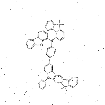 CC1(C)c2ccccc2-c2cc3c(cc21)N(c1ccccc1)C1CC=C(c2ccc(N(c4cccc5c4-c4ccccc4C5(C)C)c4cccc5c4oc4ccccc45)cc2)C=C31